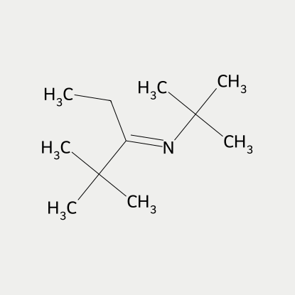 CC/C(=N\C(C)(C)C)C(C)(C)C